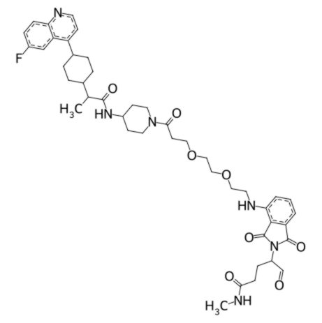 CNC(=O)CCC(C=O)N1C(=O)c2cccc(NCCOCCOCCC(=O)N3CCC(NC(=O)C(C)C4CCC(c5ccnc6ccc(F)cc56)CC4)CC3)c2C1=O